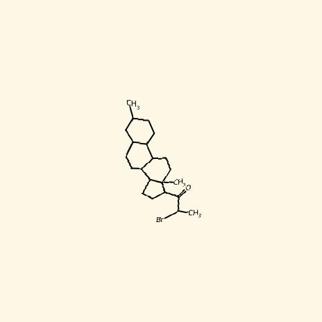 CC1CCC2C(CCC3C2CCC2(C)C(C(=O)C(C)Br)CCC32)C1